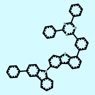 c1ccc(-c2ccc3c(c2)c2ccccc2n3-c2ccc3sc4c(-c5cccc(-c6nc(-c7ccccc7)nc(-c7ccccc7)n6)c5)cccc4c3c2)cc1